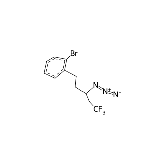 [N-]=[N+]=NC(CCc1ccccc1Br)CC(F)(F)F